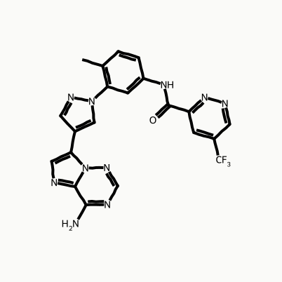 Cc1ccc(NC(=O)c2cc(C(F)(F)F)cnn2)cc1-n1cc(-c2cnc3c(N)ncnn23)cn1